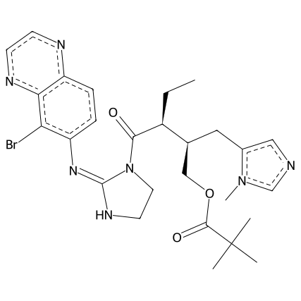 CC[C@H](C(=O)N1CCN/C1=N/c1ccc2nccnc2c1Br)[C@H](COC(=O)C(C)(C)C)Cc1cncn1C